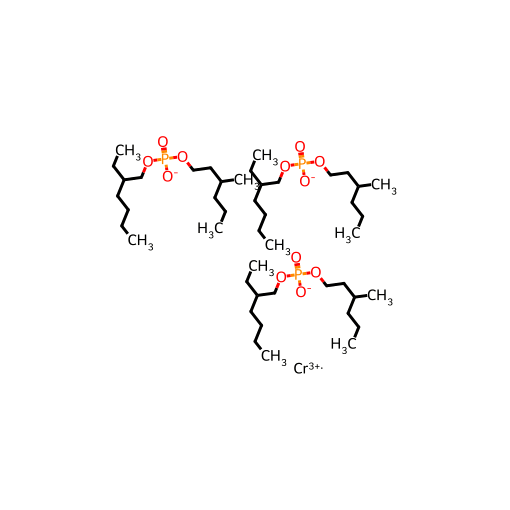 CCCCC(CC)COP(=O)([O-])OCCC(C)CCC.CCCCC(CC)COP(=O)([O-])OCCC(C)CCC.CCCCC(CC)COP(=O)([O-])OCCC(C)CCC.[Cr+3]